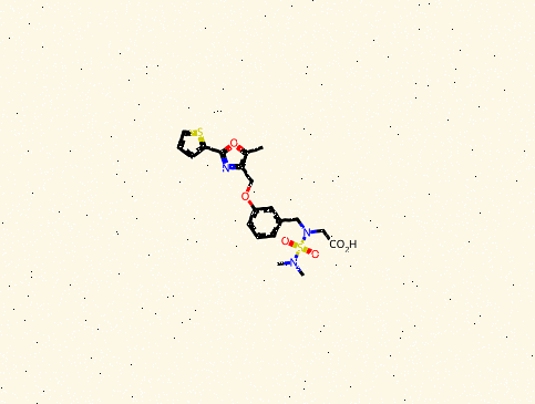 Cc1oc(-c2cccs2)nc1COc1cccc(CN(CC(=O)O)S(=O)(=O)N(C)C)c1